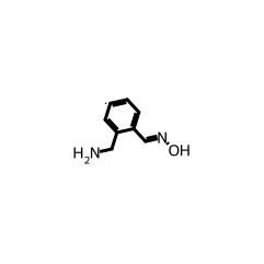 NCc1c[c]ccc1C=NO